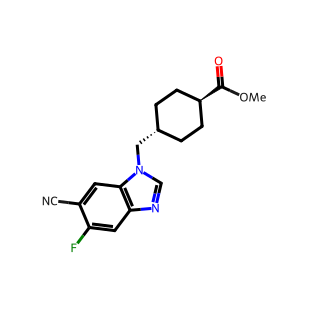 COC(=O)[C@H]1CC[C@H](Cn2cnc3cc(F)c(C#N)cc32)CC1